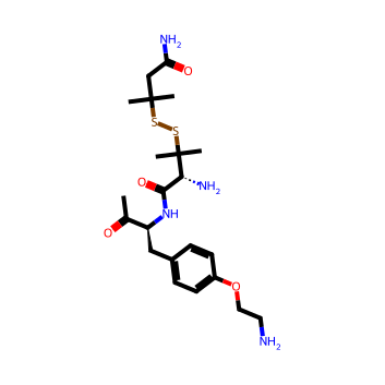 CC(=O)[C@H](Cc1ccc(OCCN)cc1)NC(=O)[C@@H](N)C(C)(C)SSC(C)(C)CC(N)=O